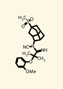 COc1ccccc1OC(C)(C)C(=N)N(C#N)C1C2CC3CC1CC(S(C)(=O)=O)(C3)C2